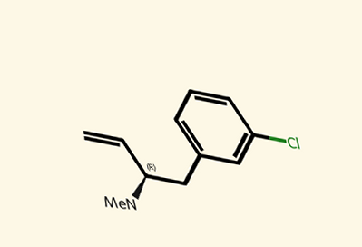 C=C[C@@H](Cc1cccc(Cl)c1)NC